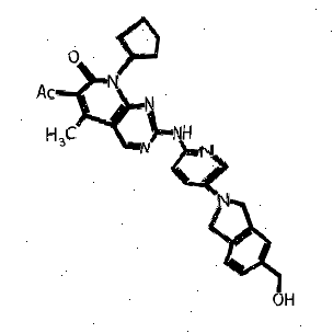 CC(=O)c1c(C)c2cnc(Nc3ccc(N4Cc5ccc(CO)cc5C4)cn3)nc2n(C2CCCC2)c1=O